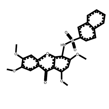 COc1cc2oc3c(NS(=O)(=O)c4ccc5ccccc5c4)c(OC)cc(OC)c3c(=O)c2cc1OC